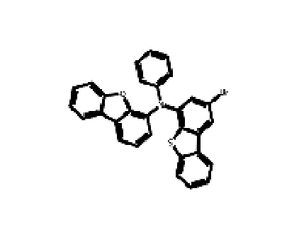 Brc1cc(N(c2ccccc2)c2cccc3c2oc2ccccc23)c2sc3ccccc3c2c1